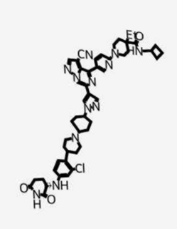 CCC1(C(=O)NC2CCC2)CCN(c2ccc(-c3nc(-c4cnn(C5CCC(N6CCC(c7ccc(N[C@H]8CCC(=O)NC8=O)cc7Cl)CC6)CC5)c4)cn4ncc(C#N)c34)cn2)CC1